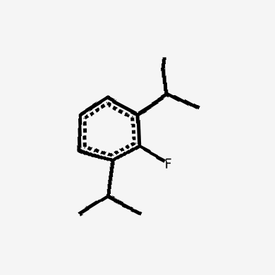 CC(C)c1cccc(C(C)C)c1F